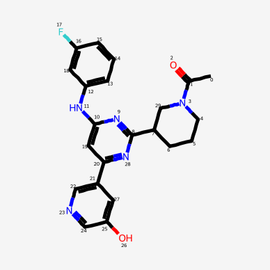 CC(=O)N1CCCC(c2nc(Nc3cccc(F)c3)cc(-c3cncc(O)c3)n2)C1